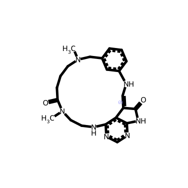 CN1CCCC(=O)N(C)CCNc2ncnc3c2/C(=C/Nc2cccc(c2)C1)C(=O)N3